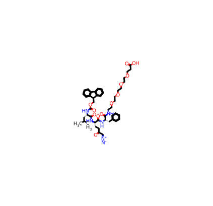 CC(C)C[C@H](NC(=O)OCC1c2ccccc2-c2ccccc21)C(=O)N[C@@H](CCC(=O)C=[N+]=[N-])C(=O)N[C@@H](Cc1ccccc1)C(=O)NCCOCCOCCOCCOCCC(=O)O